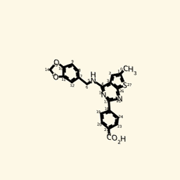 Cc1cc2c(NCc3ccc4c(c3)OCO4)nc(-c3ccc(C(=O)O)cc3)nc2s1